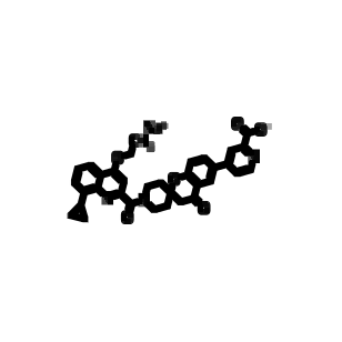 CCOc1cc(C(=O)N2CCC3(CC2)CC(=O)c2cc(-c4ccnc(C(=O)[O-])c4)ccc2O3)nc2c(C3CC3)cccc12.[Na+]